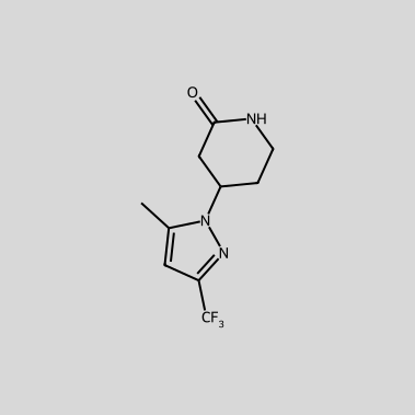 Cc1cc(C(F)(F)F)nn1C1CCNC(=O)C1